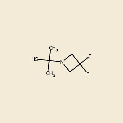 CC(C)(S)N1CC(F)(F)C1